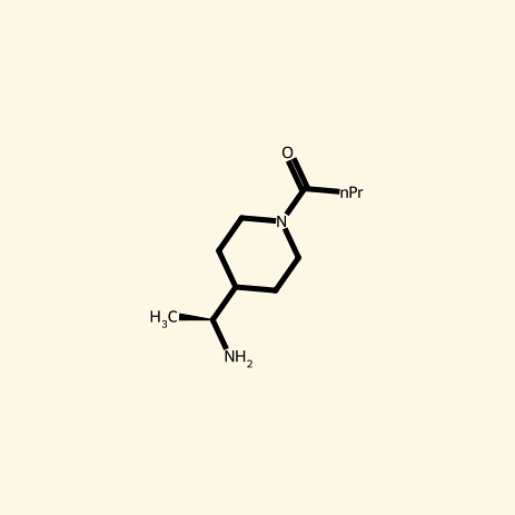 CCCC(=O)N1CCC([C@H](C)N)CC1